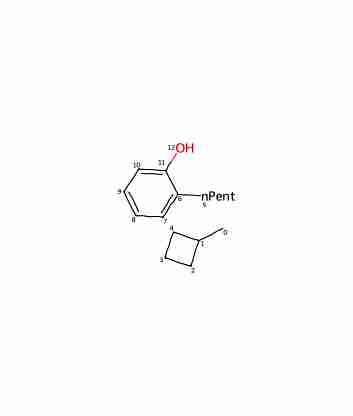 CC1CCC1.CCCCCc1ccccc1O